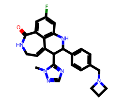 Cn1ncnc1C1C2=CCNC(=O)c3cc(F)cc(c32)NC1c1ccc(CN2CCC2)cc1